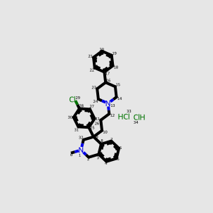 CN1Cc2ccccc2C(CCCN2CCC(c3ccccc3)CC2)(c2ccc(Cl)cc2)C1.Cl.Cl